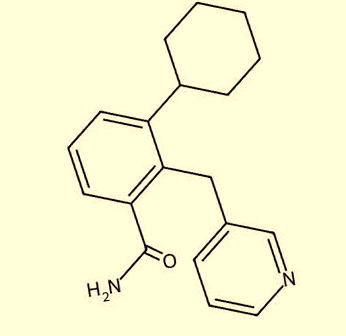 NC(=O)c1cccc(C2CCCCC2)c1Cc1cccnc1